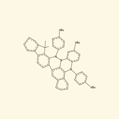 CCCCc1ccc(N2B3c4cc(CCCC)ccc4N(c4ccc(CCCC)cc4)c4c3c(cc3ccccc43)-c3ccc4c(c32)C(C)(C)c2ccccc2-4)cc1